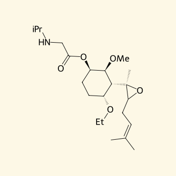 CCO[C@@H]1CC[C@@H](OC(=O)CNC(C)C)[C@@H](OC)[C@@H]1[C@@]1(C)OC1CC=C(C)C